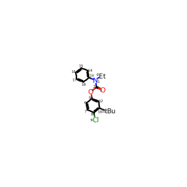 CCN(C(=O)Oc1ccc(Cl)c(C(C)(C)C)c1)c1ccccc1